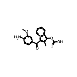 COc1cc(C(=O)c2c(C)c(OC(=O)O)c3ccccn23)ccc1N